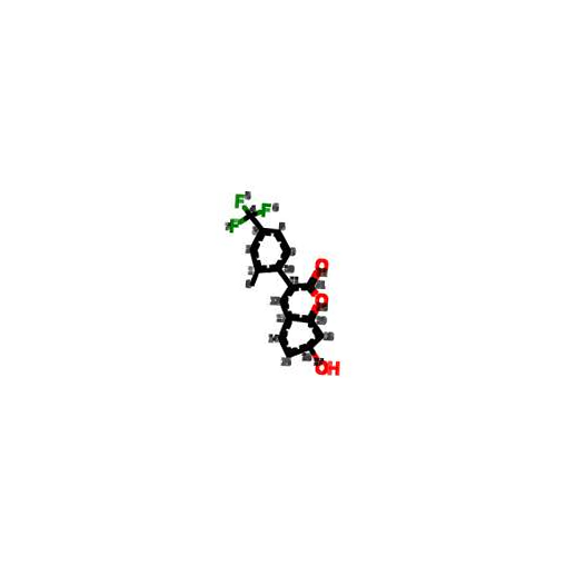 Cc1cc(C(F)(F)F)ccc1-c1cc2ccc(O)cc2oc1=O